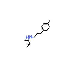 C=CC(=C)NCCCC1=CC=C(C)CC1